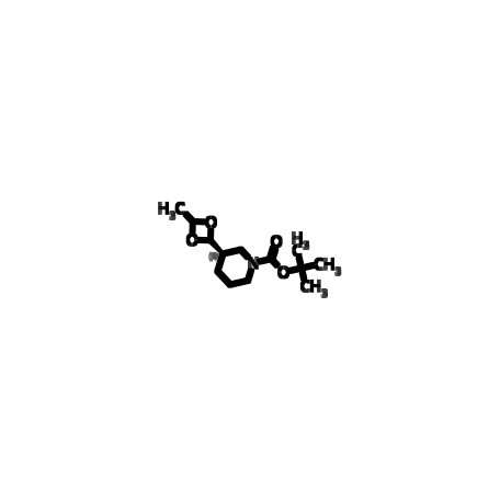 CC1OC([C@@H]2CCCN(C(=O)OC(C)(C)C)C2)O1